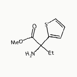 CCC(N)(C(=O)OC)c1cccs1